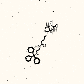 O=C(CCCC[C@@H]1SC[C@@H]2NC(=O)N[C@@H]21)NCCSC(c1ccccc1)(c1ccccc1)c1ccccc1